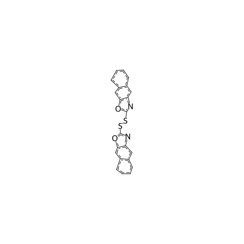 c1ccc2cc3oc(SSc4nc5cc6ccccc6cc5o4)nc3cc2c1